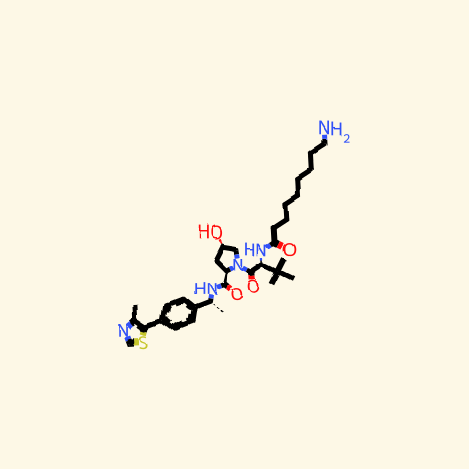 Cc1ncsc1-c1ccc([C@@H](C)NC(=O)[C@H]2C[C@H](O)CN2C(=O)[C@H](NC(=O)CCCCCCCCN)C(C)(C)C)cc1